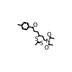 CC(=O)N(CCC(CCC(=O)c1ccc(C)cc1)SC(C)=S)C(C)=O